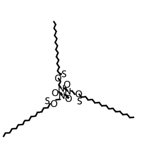 CCCCCCCCCCCCCCCC(=S)OCCn1c(=O)n(CCOC(=S)CCCCCCCCCCCCCCC)c(=O)n(CCOC(=S)CCCCCCCCCCCCCCC)c1=O